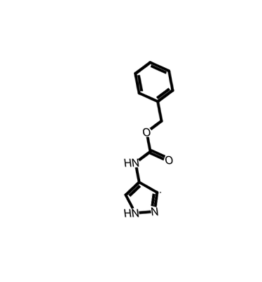 O=C(Nc1[c]n[nH]c1)OCc1ccccc1